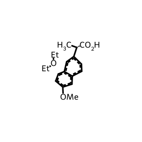 CCOCC.COc1ccc2cc([C@H](C)C(=O)O)ccc2c1